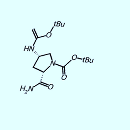 C=C(N[C@H]1C[C@@H](C(N)=O)N(C(=O)OC(C)(C)C)C1)OC(C)(C)C